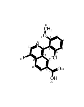 COc1cccc(Cl)c1-c1ncc(F)c2ccc(C(=O)O)cc12